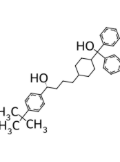 CC(C)(C)c1ccc([C@H](O)CCCC2CCC(C(O)(c3ccccc3)c3ccccc3)CC2)cc1